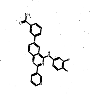 NC(=O)c1cccc(-c2ccc3nc(-c4cccnc4)nc(Nc4ccc(F)c(F)c4)c3c2)c1